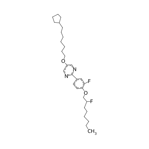 CCCCCCC(F)COc1ccc(-c2ncc(OCCCCCCCC3CCCC3)cn2)cc1F